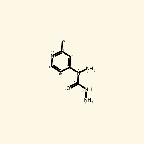 Cc1cc(N(N)C(=O)NN)ccn1